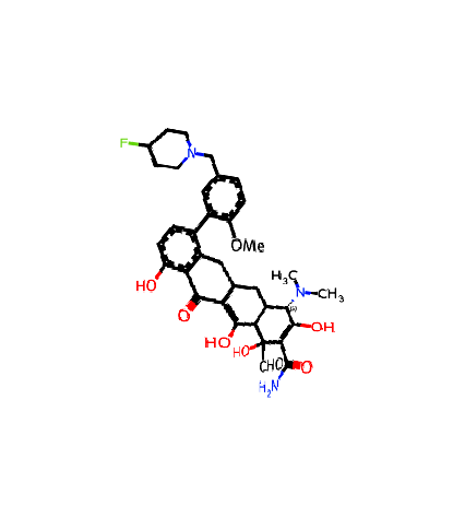 COc1ccc(CN2CCC(F)CC2)cc1-c1ccc(O)c2c1CC1CC3C(C(O)=C1C2=O)C(O)(C=O)C(C(N)=O)=C(O)[C@H]3N(C)C